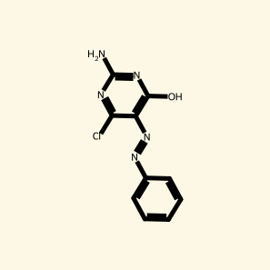 Nc1nc(O)c(N=Nc2ccccc2)c(Cl)n1